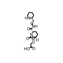 O=C(O)CON1C(=O)N2C[C@H]1CC[C@H]2C(=O)NOC[C@@H]1CCCCN1